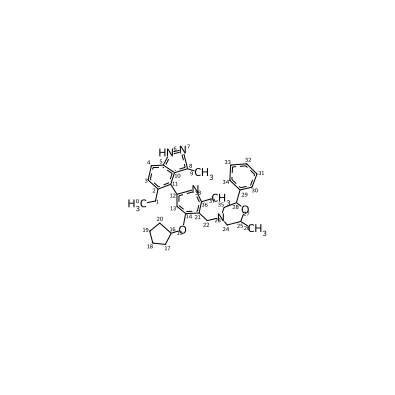 CCc1ccc2[nH]nc(C)c2c1-c1cc(OC2CCCC2)c(CN2CC(C)OC(c3ccccc3)C2)c(C)n1